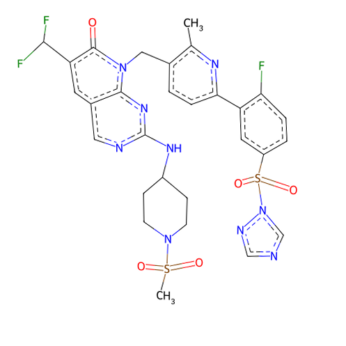 Cc1nc(-c2cc(S(=O)(=O)n3cncn3)ccc2F)ccc1Cn1c(=O)c(C(F)F)cc2cnc(NC3CCN(S(C)(=O)=O)CC3)nc21